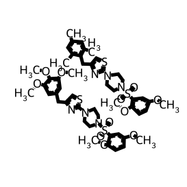 COc1ccc(OC)c(S(=O)(=O)N2CCN(c3nc(Cc4c(C)cc(C)cc4C)cs3)CC2)c1.COc1ccc(OC)c(S(=O)(=O)N2CCN(c3nc(Cc4cc(OC)c(OC)c(OC)c4)cs3)CC2)c1